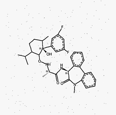 CC(C)C1CCC(C)[C@](O)(c2cc(F)cc(F)c2)C1ON[C@@H](C)C(=O)N[C@@H]1C(=O)N(C)c2ccccc2-c2ccccc21